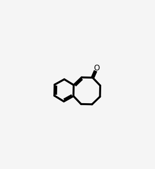 O=C1/C=C2/CC=CC=C2CCCC1